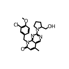 COc1ccc(Cn2c(=O)cc(C)c3cnc(N4CCCC4CO)nc32)cc1Cl